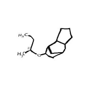 CC[C@H](C)OC1CC2CC1C1CCCC21